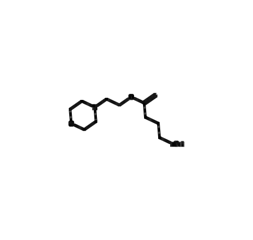 C=C(CCCCCCCCCCC)OCCN1CCOCC1